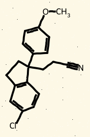 COc1ccc(C2(CCC#N)CCc3cc(Cl)ccc32)cc1